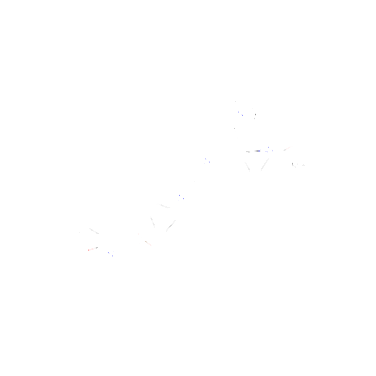 C=CC(=O)N1CCOC[C@H](S(=O)(=O)c2ccc(N3CC(F)(CN4CCC([C@@](CN5CCC5)(c5cccc(F)c5)[C@H]5CCC[C@@H]5NC(=O)OC)CC4)C3)cc2)C1